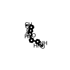 COc1cccc2cc(C(=O)Nc3cccc(-c4ccc5[nH]c(=O)[nH]c5c4)c3)c(=O)oc12